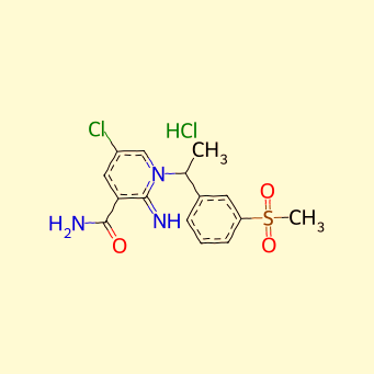 CC(c1cccc(S(C)(=O)=O)c1)n1cc(Cl)cc(C(N)=O)c1=N.Cl